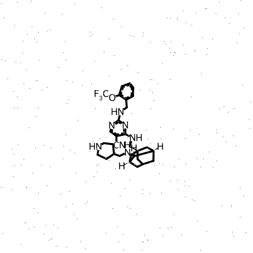 N#Cc1cnc(NCc2ccccc2OC(F)(F)F)nc1NC[C@]12CC3C[C@H](C1)[C@@H](NCC1CCNCC1)[C@@H](C3)C2